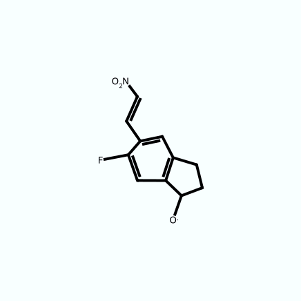 [O]C1CCc2cc(C=C[N+](=O)[O-])c(F)cc21